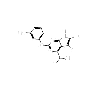 CCc1[nH]c2nc(Oc3cccc(C#N)c3)nc(C(C)O)c2c1Cl